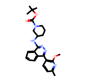 COc1nc(C)ccc1-c1nnc(NC2CCCN(C(=O)OC(C)(C)C)C2)c2ccccc12